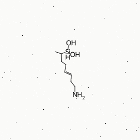 CC(CCC=CCCN)[SiH](O)O